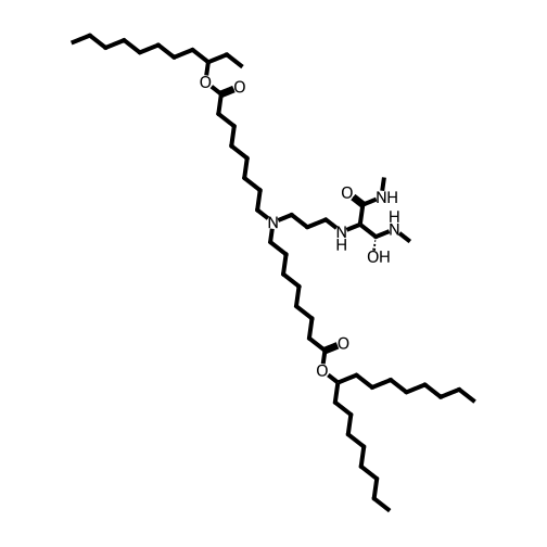 CCCCCCCCC(CC)OC(=O)CCCCCCCN(CCCCCCCC(=O)OC(CCCCCCCC)CCCCCCCC)CCCNC(C(=O)NC)[C@@H](O)NC